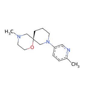 Cc1ccc(N2CCC[C@@]3(CN(C)CCO3)C2)cn1